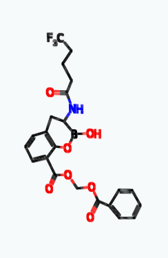 O=C(CCCC(F)(F)F)NC1Cc2cccc(C(=O)OCOC(=O)c3ccccc3)c2OB1O